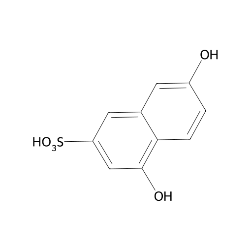 O=S(=O)(O)c1cc(O)c2ccc(O)cc2c1